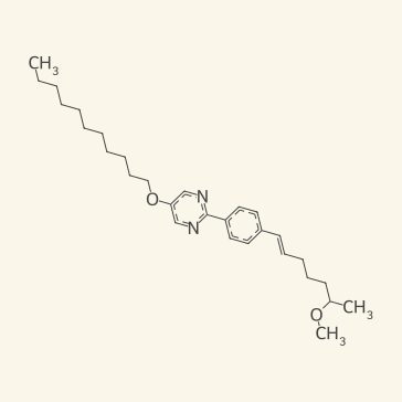 CCCCCCCCCCCOc1cnc(-c2ccc(/C=C/CCCC(C)OC)cc2)nc1